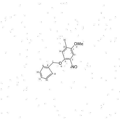 COc1cc(N=O)c(OCc2ccccc2)cc1C